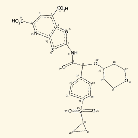 O=C(O)c1cc(C(=O)O)c2nc(NC(=O)C(OC3CCOCC3)c3ccc(S(=O)(=O)C4CC4)cc3)sc2n1